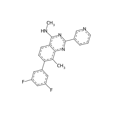 CNc1nc(-c2cccnc2)nc2c(C)c(-c3cc(F)cc(F)c3)ccc12